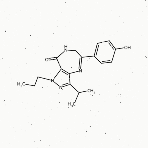 CCCn1nc(C(C)C)c2c1C(=O)NCC(c1ccc(O)cc1)=N2